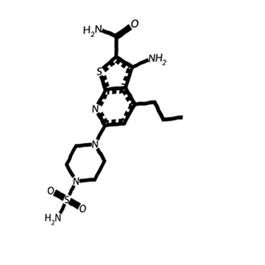 CCCc1cc(N2CCN(S(N)(=O)=O)CC2)nc2sc(C(N)=O)c(N)c12